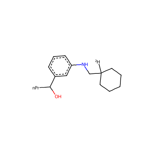 [2H]C1(CNc2cccc(C(O)CCC)c2)CCCCC1